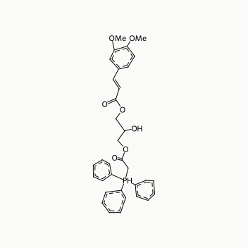 COc1ccc(/C=C/C(=O)OCC(O)COC(=O)C[PH](c2ccccc2)(c2ccccc2)c2ccccc2)cc1OC